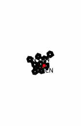 N#Cc1ccc(-c2nc(-c3ccccc3)cc(-c3cccc(-n4c5ccccc5c5cc6c(cc54)C4(c5ccccc5-c5ccccc54)c4ccccc4-6)c3)n2)cc1